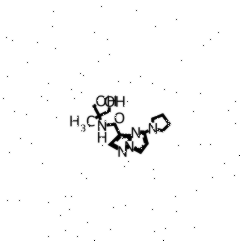 CC(CO)(CO)NC(=O)c1cnn2ccc(N3CCCC3)nc12